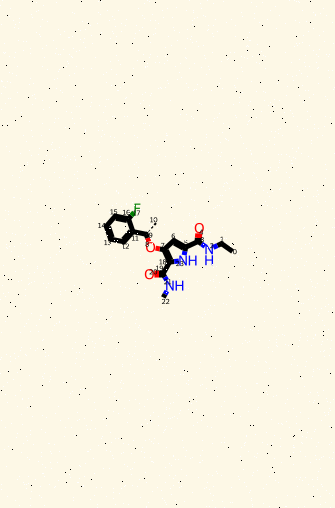 CCNC(=O)c1cc(O[C@@H](C)c2ccccc2F)c(C(=O)NC)[nH]1